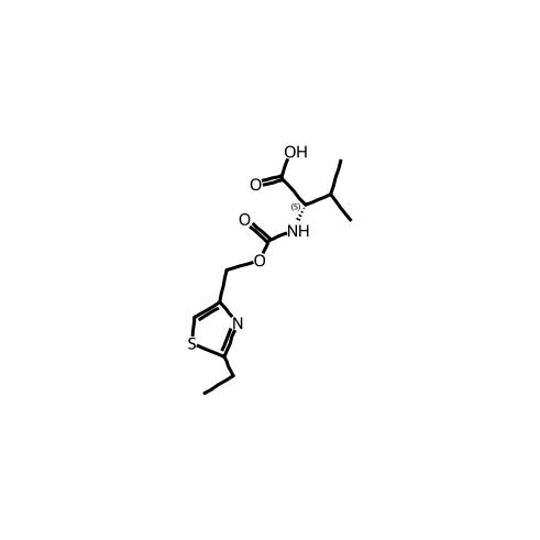 CCc1nc(COC(=O)N[C@H](C(=O)O)C(C)C)cs1